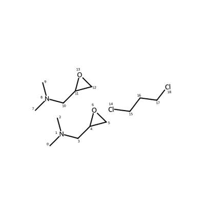 CN(C)CC1CO1.CN(C)CC1CO1.ClCCCCl